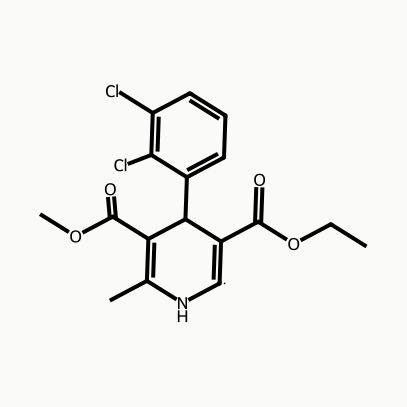 CCOC(=O)C1=[C]NC(C)=C(C(=O)OC)C1c1cccc(Cl)c1Cl